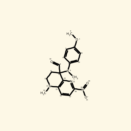 COc1ccc(N(C)C2(C=O)CCN(C)c3ccc([N+](=O)[O-])nc32)cc1